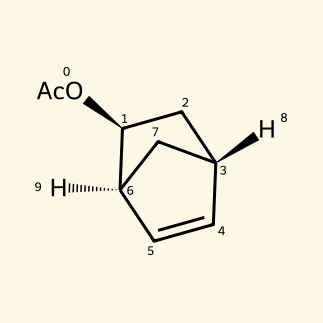 CC(=O)O[C@H]1C[C@@H]2C=C[C@@H]1C2